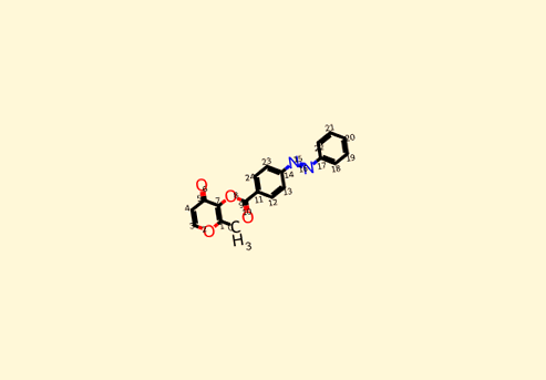 Cc1occc(=O)c1OC(=O)c1ccc(N=Nc2ccccc2)cc1